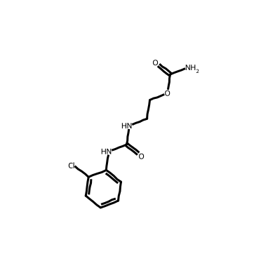 NC(=O)OCCNC(=O)Nc1ccccc1Cl